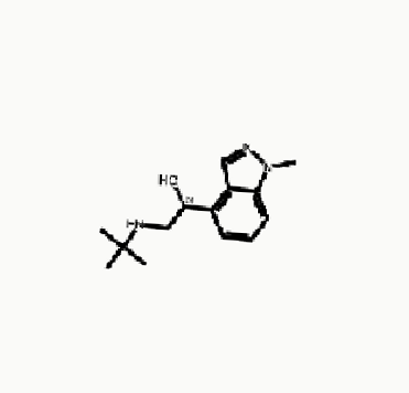 Cn1ncc2c([C@H](O)CNC(C)(C)C)cccc21